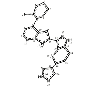 Fc1ccccc1-c1ccnc2[nH]c(-c3n[nH]c4ccc(-c5cn[nH]c5)nc34)cc12